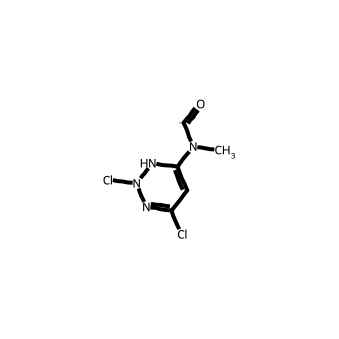 CN([C]=O)C1=CC(Cl)=NN(Cl)N1